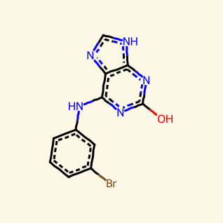 Oc1nc(Nc2cccc(Br)c2)c2nc[nH]c2n1